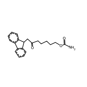 NC(=O)OCCCCCC(=O)CC1c2ccccc2-c2ccccc21